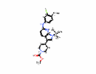 COc1ccc(Nc2ccc3c(C4CCN(C(=O)OC(C)(C)C)CC4)cn([Si](C(C)C)(C(C)C)C(C)C)c3n2)cc1F